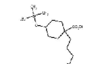 CCOC(=O)C1(CCCCl)CCC(O[Si](C)(C)C(C)(C)C)CC1